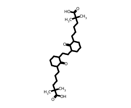 CC(C)(CCCCC1CCCC(CCC2CCCC(CCCCC(C)(C)C(=O)O)C2=O)C1=O)C(=O)O